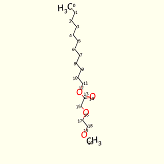 CCCCCCCCCCCCOC(=O)COCCOC